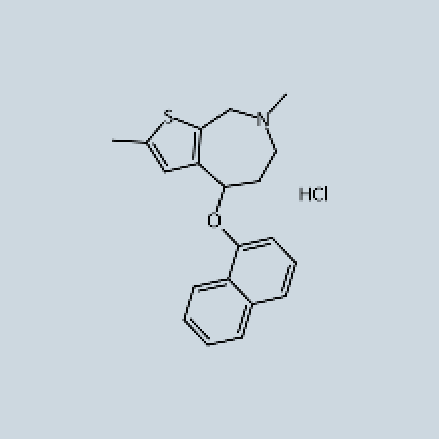 Cc1cc2c(s1)CN(C)CCC2Oc1cccc2ccccc12.Cl